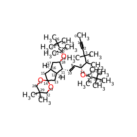 CC#CC(C)(C)C(C)[C@@H](/C=C/[C@@H]1[C@H]2CC3(C[C@H]2C[C@H]1O[Si](C)(C)C(C)(C)C)OCC(C)(C)CO3)O[Si](C)(C)C(C)(C)C